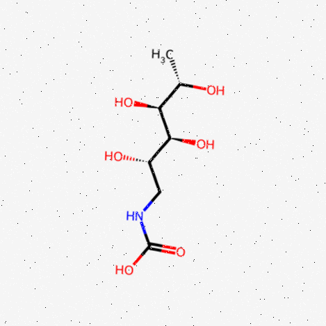 C[C@H](O)[C@H](O)[C@@H](O)[C@@H](O)CNC(=O)O